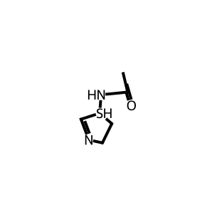 CC(=O)N[SH]1C=NCC1